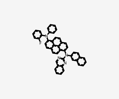 Fc1ccccc1N(c1ccccc1)c1ccc2ccc3c(N(c4ccc5ccccc5c4)c4ncc5ccccc5n4)ccc4ccc1c2c43